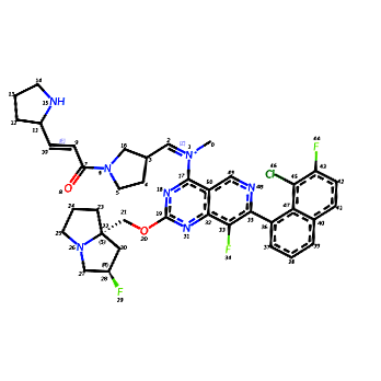 C/[N+](=C/C1CCN(C(=O)/C=C/C2CCCN2)C1)c1nc(OC[C@@]23CCCN2C[C@H](F)C3)nc2c(F)c(-c3cccc4ccc(F)c(Cl)c34)ncc12